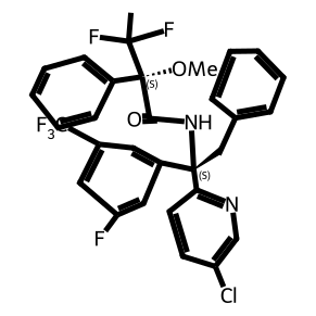 CO[C@](C(=O)N[C@@](Cc1ccccc1)(c1cc(F)cc(C(F)(F)F)c1)c1ccc(Cl)cn1)(c1ccccc1)C(C)(F)F